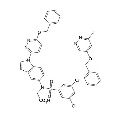 Ic1cc(OCc2ccccc2)cnn1.O=C(O)CN(c1ccc2c(ccn2-c2ccc(OCc3ccccc3)nn2)c1)S(=O)(=O)c1cc(Cl)cc(Cl)c1